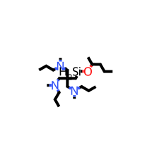 CCCC(C)O[SiH2]CC(CN(C)CCC)(CN(C)CCC)CN(C)CCC